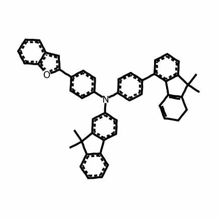 CC1(C)C2=C(C=CCC2)c2c(-c3ccc(N(c4ccc(-c5cc6ccccc6o5)cc4)c4ccc5c(c4)C(C)(C)c4ccccc4-5)cc3)cccc21